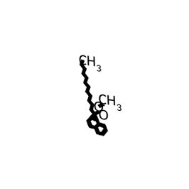 CCCCCCCCCCCCC1(C(=O)OCC)c2ccc3ccccc3c21